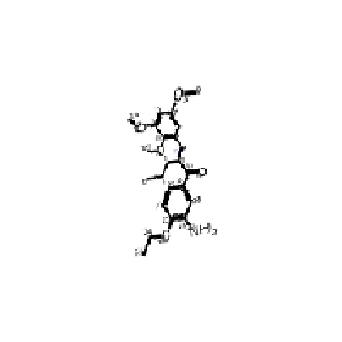 CCC/C(=C\c1cc(OC)cc(OC)c1OC)C(=O)c1ccc(OCC)c(N)c1